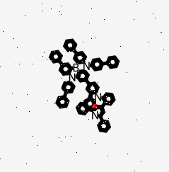 c1ccc(-c2ccc(N3c4ccc(-c5ccccc5)cc4B4c5cc(-c6ccccc6)ccc5N(c5ccc(-c6ccccc6)cc5)c5cc(-c6ccc7c(c6)c6ccccc6n7-c6ccccc6-c6cc(-c7ccccc7)nc(-c7ccccc7)c6)cc3c54)cc2)cc1